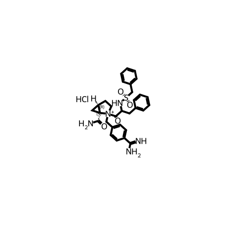 Cl.N=C(N)c1ccc(C[N+]2(C(=O)C(Cc3ccccc3)NS(=O)(=O)Cc3ccccc3)CC[C@@H]3C[C@@]32C(N)=O)cc1